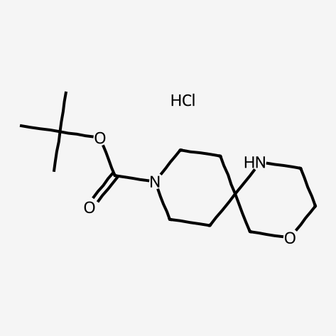 CC(C)(C)OC(=O)N1CCC2(CC1)COCCN2.Cl